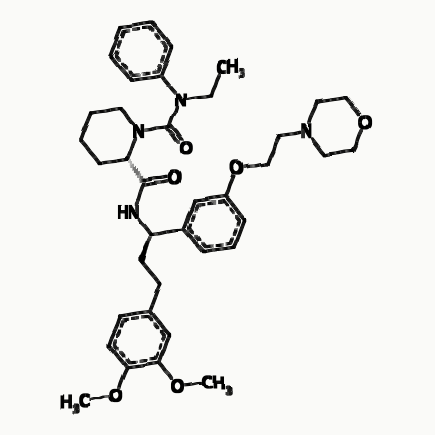 CCN(C(=O)N1CCCC[C@H]1C(=O)N[C@H](CCc1ccc(OC)c(OC)c1)c1cccc(OCCN2CCOCC2)c1)c1ccccc1